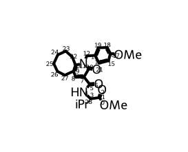 COC(=O)[C@@H](NC(=O)c1cc2c(n(Cc3ccc(OC)cc3)c1=O)CCCCCC2)C(C)C